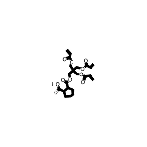 C=CC(=O)OCC(COC(=O)C=C)(COC(=O)C=C)COC(=O)C1C=CCCC1C(=O)O